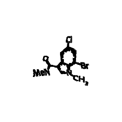 CNC(=O)c1cn(C)c2c(Br)cc(Cl)cc12